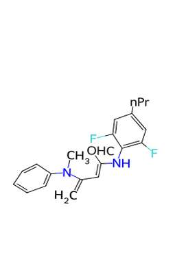 C=C(/C=C(\C=O)Nc1c(F)cc(CCC)cc1F)N(C)c1ccccc1